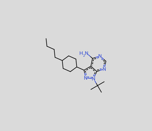 CCCCC1CCC(c2nn(C(C)(C)C)c3ncnc(N)c23)CC1